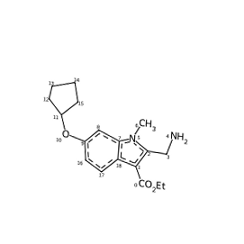 CCOC(=O)c1c(CN)n(C)c2cc(OC3CCCC3)ccc12